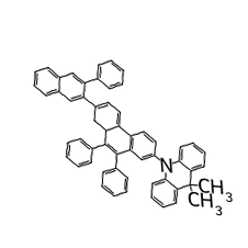 CC1(C)c2ccccc2N(c2ccc3c(c2)C(c2ccccc2)=C(c2ccccc2)C2CC(c4cc5ccccc5cc4-c4ccccc4)=CC=C32)c2ccccc21